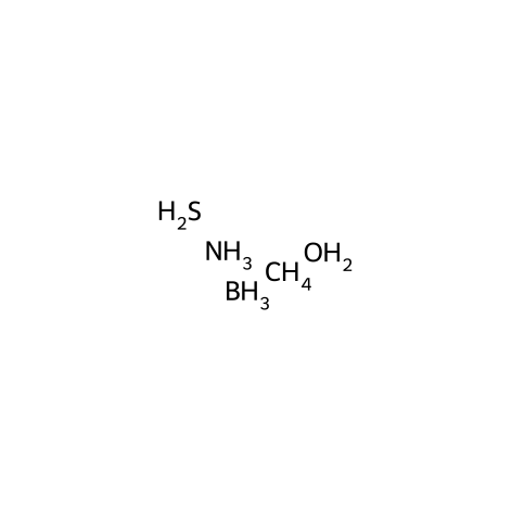 B.C.N.O.S